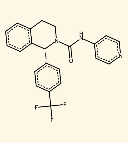 O=C(Nc1ccncc1)N1CCc2ccccc2[C@H]1c1ccc(C(F)(F)F)cc1